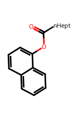 CCCCCCCC(=O)Oc1cccc2ccccc12